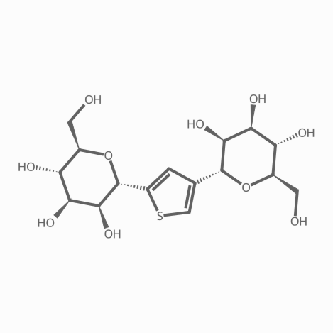 OC[C@H]1O[C@H](c2csc([C@H]3O[C@H](CO)[C@@H](O)[C@H](O)[C@@H]3O)c2)[C@@H](O)[C@@H](O)[C@@H]1O